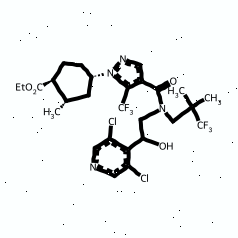 CCOC(=O)[C@H]1CC[C@H](n2ncc(C(=O)N(CC(O)c3c(Cl)cncc3Cl)CC(C)(C)C(F)(F)F)c2C(F)(F)F)C[C@@H]1C